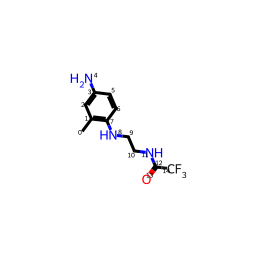 Cc1cc(N)ccc1NCCNC(=O)C(F)(F)F